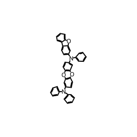 c1ccc(N(c2ccccc2)c2ccc3c(c2)Oc2ccc(N(c4ccccc4)c4ccc5c(c4)oc4ccccc45)cc2O3)cc1